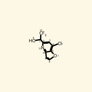 OC(c1cc(Cl)c2occc2n1)C(F)(F)F